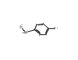 CCBc1ccc(F)cc1